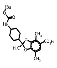 Cc1cc(C(=O)O)c(C)c2c1O[C@](C)(C1CCC(NC(=O)OC(C)(C)C)CC1)O2